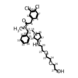 CN(C(=O)Cc1ccc(Cl)c(Cl)c1)[C@H](CN1CCC(NCCOCCOCCO)C1)c1ccccc1